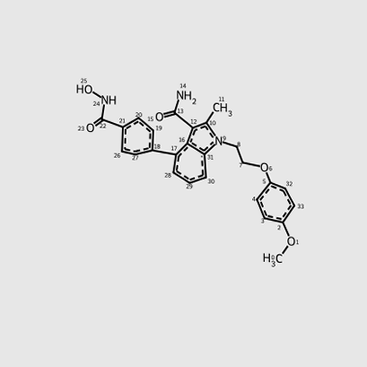 COc1ccc(OCCn2c(C)c(C(N)=O)c3c(-c4ccc(C(=O)NO)cc4)cccc32)cc1